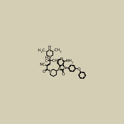 C[C@@H]1CN(C(C)(C)C=C(C#N)C(=O)N2CCCC(n3c(=O)n(-c4ccc(Oc5ccccc5)cc4)c4c(N)nccc43)C2)C[C@H](C)N1